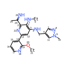 CCNc1c(NCc2cnn(C)c2)cc(-c2cccnc2OCC)nc1C(C)=N